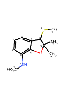 CCC(C)SC1c2cccc(NC(=O)O)c2OC1(C)C